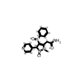 CN1C(CC(N)=O)=C([S+]([O-])c2ccccc2)C(c2ccncc2)N1Cl